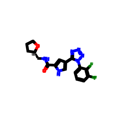 O=C(NC[C@@H]1CCCO1)c1cc(-c2nnnn2-c2cccc(F)c2F)c[nH]1